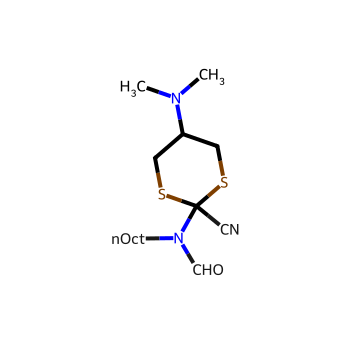 CCCCCCCCN(C=O)C1(C#N)SCC(N(C)C)CS1